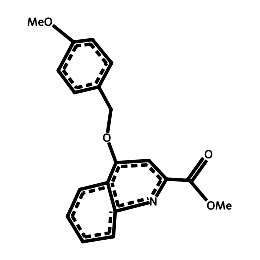 COC(=O)c1cc(OCc2ccc(OC)cc2)c2ccccc2n1